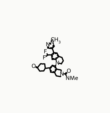 CNC(=O)N1CCc2cc(C3CCC(=O)CC3)cc(N3CCCc4cc(-c5cnn(C)c5)c(C(F)F)cc43)c2C1